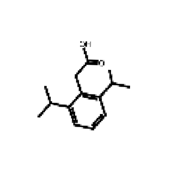 CC(C)c1cccc(C(C)C)c1CC(=O)O